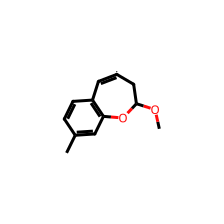 COC1C[C]=Cc2ccc(C)cc2O1